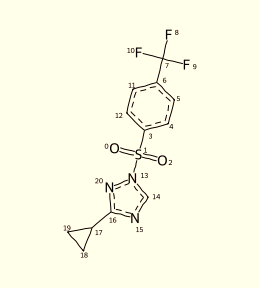 O=S(=O)(c1ccc(C(F)(F)F)cc1)n1cnc(C2CC2)n1